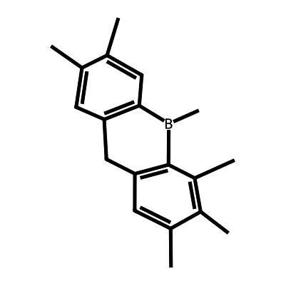 CB1c2cc(C)c(C)cc2Cc2cc(C)c(C)c(C)c21